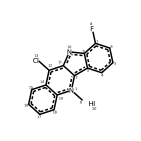 Cn1c2c3cccc(F)c3nc-2c(Cl)c2ccccc21.I